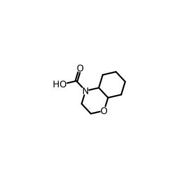 O=C(O)N1CCOC2CCCCC21